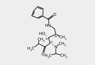 CC(C)C(=O)[C@H]([C@H](O)[C@H](C)CNC(=O)c1ccccc1)N(C)C(C)C